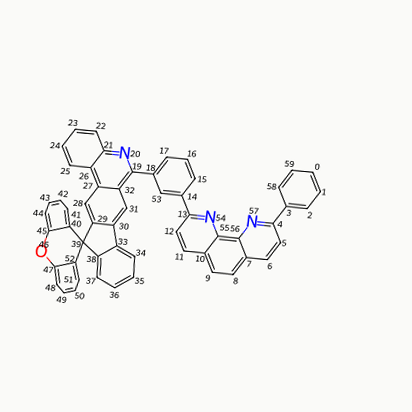 c1ccc(-c2ccc3ccc4ccc(-c5cccc(-c6nc7ccccc7c7cc8c(cc67)-c6ccccc6C86c7ccccc7Oc7ccccc76)c5)nc4c3n2)cc1